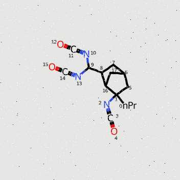 CCCC1(N=C=O)CC2CC(C(N=C=O)N=C=O)C1C2